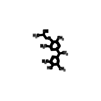 Cc1cc(C(c2cc(C)c(OCC(C)O)c(C)c2)C(F)(F)F)cc(C)c1O